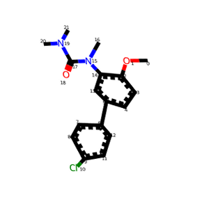 COc1ccc(-c2ccc(Cl)cc2)cc1N(C)C(=O)N(C)C